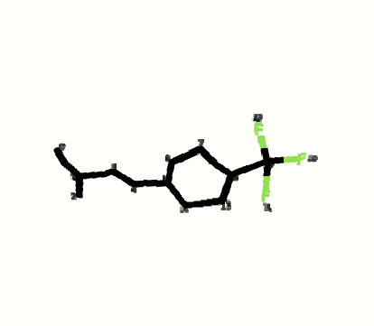 CC(C)CCC1CCC(C(F)(F)F)CC1